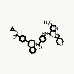 Cc1cnc(N2CC3(CCOCC3)C2)c(C(=O)Nc2ccc(C(=O)N3CCC(c4ccc(C(=O)NC5CC5)cc4)=Cc4ccccc43)cc2)c1